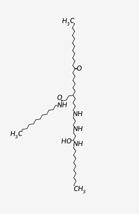 CCCCCCCCCCCCCC(=O)CCCCCCC(CCCCNCCCNCCC(O)NCCCCCCCCCCCC)CCC(=O)NCCCCCCCCCCCC